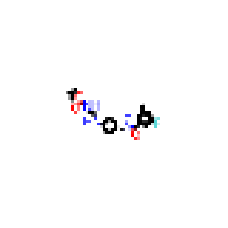 Cc1cc(F)cc(C(=O)NC[C@H]2CC[C@@H](NCCNC(=O)OC(C)(C)C)CC2)c1